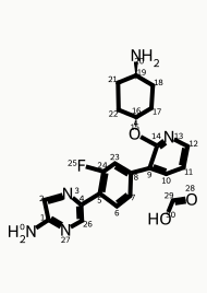 Nc1cnc(-c2ccc(-c3cccnc3O[C@H]3CC[C@H](N)CC3)cc2F)cn1.O=CO